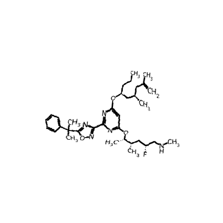 C=C(C)C[C@@H](C)C[C@H](CCC)Oc1cc(O[C@@H](C)[C@@H](C)C[C@@H](F)CNC)nc(-c2noc(C(C)(C)c3ccccc3)n2)n1